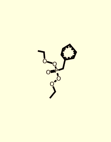 CCOOP(=O)(Cc1ccccc1)OOCC